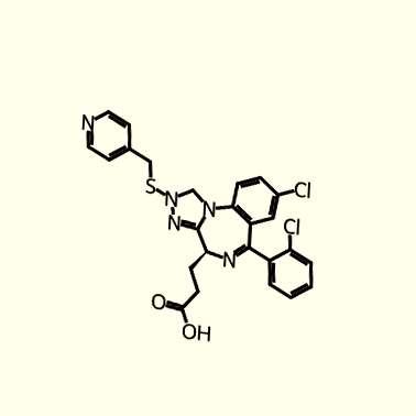 O=C(O)CC[C@@H]1N=C(c2ccccc2Cl)c2cc(Cl)ccc2N2CN(SCc3ccncc3)N=C12